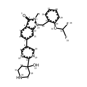 Cn1c(=O)c2ccc(-c3cnc(C4(O)CCNCC4)nc3)cc2n1Cc1ccccc1OC(F)F